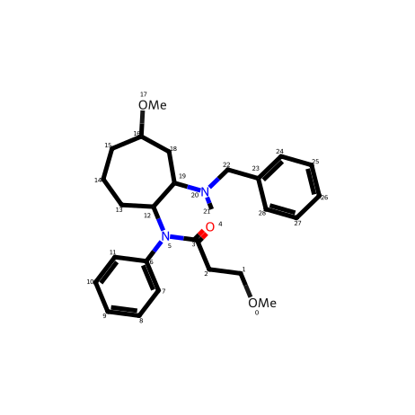 COCCC(=O)N(c1ccccc1)C1CCCC(OC)CC1N(C)Cc1ccccc1